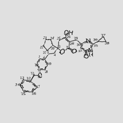 O=C1OC(CCc2ccc(OCc3ccccc3)cc2)(C2CCCC2)CC(O)=C1Cc1cc(=O)[nH]c(C2CC2)n1